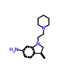 C=C1CN(CCN2CCCCC2)c2cc(N)ccc21